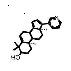 CC1(C)C2=CCC3C4=CC=C(c5cccnc5)[C@@]4(C)CCC3[C@@]2(C)CCC1O